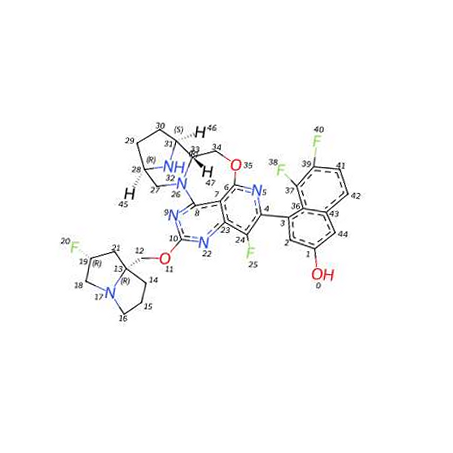 Oc1cc(-c2nc3c4c(nc(OC[C@]56CCCN5C[C@H](F)C6)nc4c2F)N2C[C@H]4CC[C@H](N4)[C@@H]2CO3)c2c(F)c(F)ccc2c1